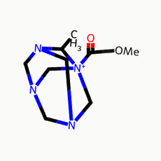 COC(=O)[N+]12CN3CN(CN(C3)C1C)C2